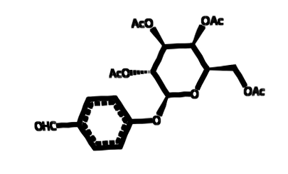 CC(=O)OC[C@H]1O[C@@H](Oc2ccc(C=O)cc2)[C@H](OC(C)=O)[C@@H](OC(C)=O)[C@H]1OC(C)=O